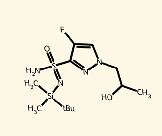 CC(O)Cn1cc(F)c(S(N)(=O)=N[Si](C)(C)C(C)(C)C)n1